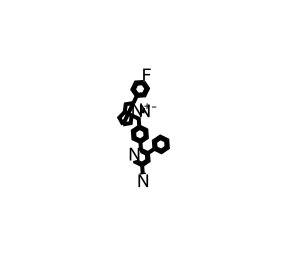 N#Cc1cnc(-c2ccc(CC34CC5CC3CC5(c3ccc(F)cc3)[N+]4=[N-])cc2)c(-c2ccccc2)c1